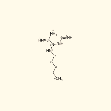 CCCCCNN(N[C]=N)C(=N)N